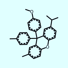 COc1ccc(C2(c3ccc(C)cc3)c3cc(C)ccc3Oc3ccc(C(C)C)cc32)cc1